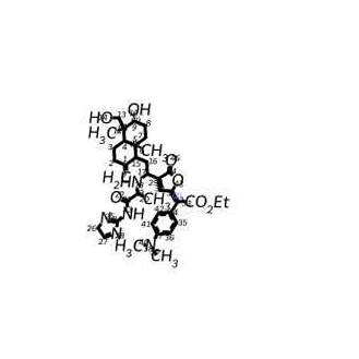 C=C1CCC2[C@](C)(CC[C@@H](O)[C@@]2(C)CO)C1CC(NC(C)C(=O)NC1=NCC=N1)C1=C/C(=C(/C(=O)OCC)c2ccc(N(C)C)cc2)OC1=O